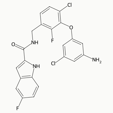 Nc1cc(Cl)cc(Oc2c(Cl)ccc(CNC(=O)c3cc4cc(F)ccc4[nH]3)c2F)c1